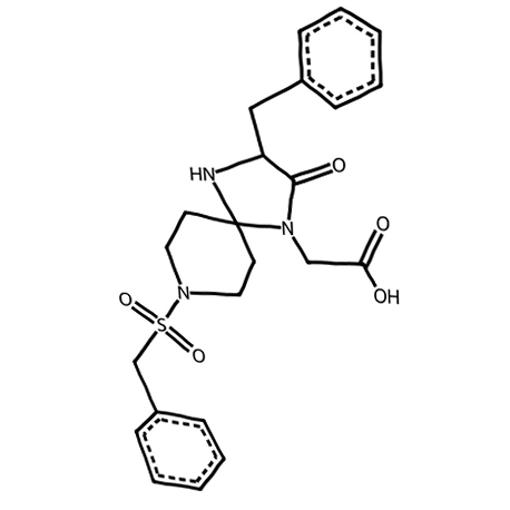 O=C(O)CN1C(=O)C(Cc2ccccc2)NC12CCN(S(=O)(=O)Cc1ccccc1)CC2